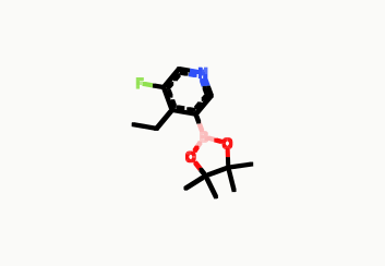 CCc1c(F)cncc1B1OC(C)(C)C(C)(C)O1